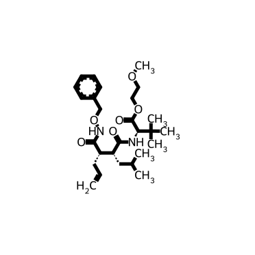 C=CC[C@H](C(=O)NOCc1ccccc1)[C@@H](CC(C)C)C(=O)N[C@H](C(=O)OCCOC)C(C)(C)C